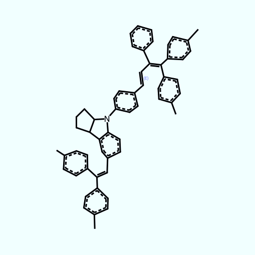 Cc1ccc(C(=Cc2ccc3c(c2)C2CCCC2N3c2ccc(/C=C/C(=C(c3ccc(C)cc3)c3ccc(C)cc3)c3ccccc3)cc2)c2ccc(C)cc2)cc1